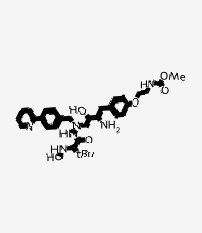 COC(=O)NCCOc1ccc(CC(N)C(O)CN(Cc2ccc(-c3ccccn3)cc2)NC(=O)C(NO)C(C)(C)C)cc1